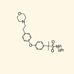 CCCNS(=O)(=O)C(C)(C)c1ccc(Oc2ccc(CCN3CCOCC3)cc2)cc1